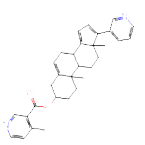 Cc1ccncc1C(=O)OC1CCC2(C)C(=CCC3C4=CC=C(c5cccnc5)C4(C)CCC32)C1